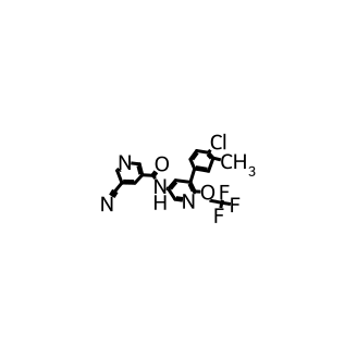 Cc1cc(-c2cc(NC(=O)c3cncc(C#N)c3)cnc2OCC(F)(F)F)ccc1Cl